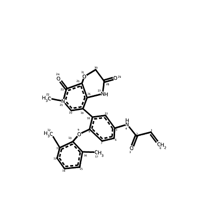 C=CC(=O)Nc1ccc(Oc2c(C)cccc2C)c(-c2cn(C)c(=O)c3c2NC(=O)CO3)c1